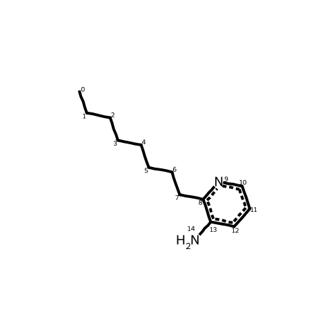 CCCCCCCCc1ncccc1N